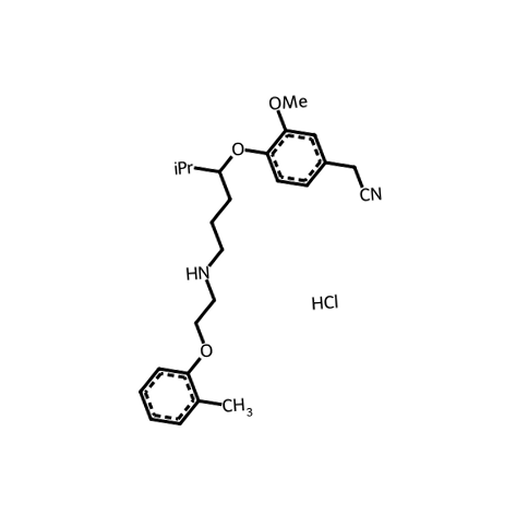 COc1cc(CC#N)ccc1OC(CCCNCCOc1ccccc1C)C(C)C.Cl